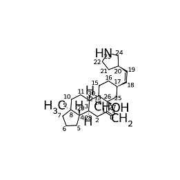 C=C1C[C@H]2[C@@H]3CCC[C@@]3(C)CC[C@@H]2[C@@]2(C)CC[C@@H](/C=C\[C@H]3CCNC3)C[C@]12O